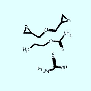 C(OCC1CO1)C1CO1.CCCOC(N)=S.NC(O)=S